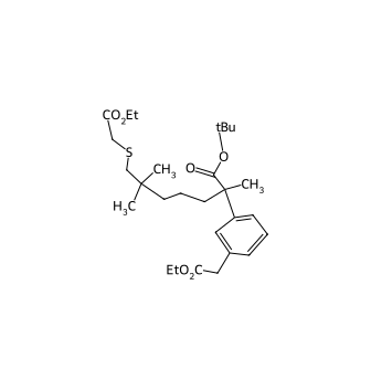 CCOC(=O)CSCC(C)(C)CCCC(C)(C(=O)OC(C)(C)C)c1cccc(CC(=O)OCC)c1